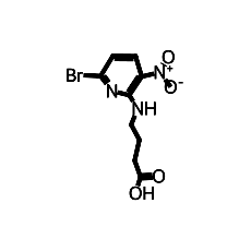 O=C(O)CCCNc1nc(Br)ccc1[N+](=O)[O-]